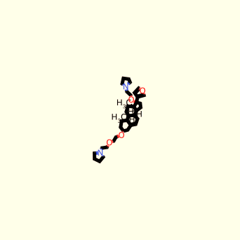 C[C@]12CCC(OCCOCCN3CCCC3)CC1=CC[C@@H]1[C@H]2CC[C@@]2(C)[C@H]1CCC2(OCCN1CCCC1)c1ccoc1